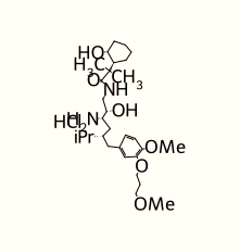 COCCCOc1cc(C[C@@H](C[C@H](N)[C@@H](O)CNC(=O)C(C)(C)[C@@H]2CCCC[C@H]2O)C(C)C)ccc1OC.Cl